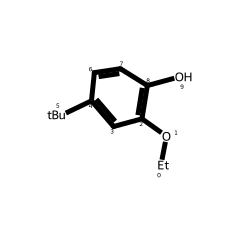 CCOc1cc(C(C)(C)C)ccc1O